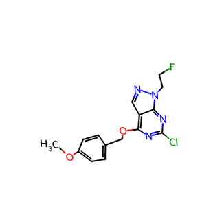 COc1ccc(COc2nc(Cl)nc3c2cnn3CCF)cc1